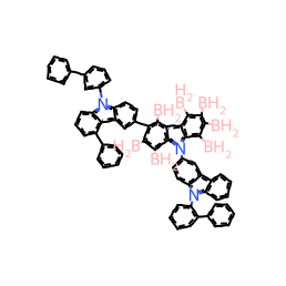 Bc1c(B)c(B)c2c(c1B)c1c(B)c(-c3ccc4c(c3)c3c(-c5ccccc5)cccc3n4-c3cccc(-c4ccccc4)c3)c(B)c(B)c1n2-c1ccc2c(c1)c1ccccc1n2-c1ccccc1-c1ccccc1